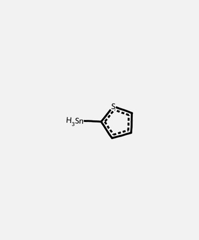 [SnH3][c]1cccs1